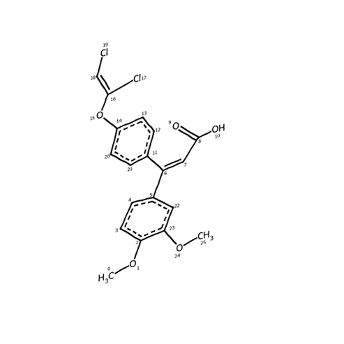 COc1ccc(C(=CC(=O)O)c2ccc(OC(Cl)=CCl)cc2)cc1OC